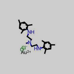 Cc1cc(C)c(NCCN(C)CCNc2c(C)cc(C)cc2C)c(C)c1.[Au+2].[Cl-].[Cl-]